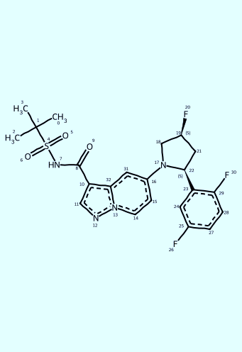 CC(C)(C)S(=O)(=O)NC(=O)c1cnn2ccc(N3C[C@@H](F)C[C@H]3c3cc(F)ccc3F)cc12